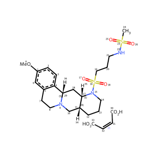 COc1ccc2c(c1)CCN1C[C@H]3CCCN(S(=O)(=O)CCCNS(C)(=O)=O)[C@H]3C[C@@H]21.O=C(O)/C=C\C(=O)O